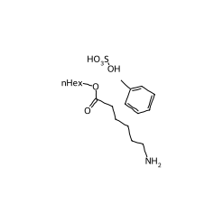 CCCCCCOC(=O)CCCCCN.Cc1ccccc1.O=S(=O)(O)O